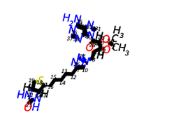 CC1(C)O[C@@H]2[C@H](O1)C(Cn1cc(CCCCC[C@@H]3SC[C@@H]4NC(=O)N[C@@H]43)nn1)O[C@H]2n1cnc2c(N)ncnc21